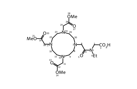 CCN(CC(=O)O)C(=O)CN1CCN(CC(=O)OC)CCN(CC(=O)OC)CCN(CC(=O)OC)CC1